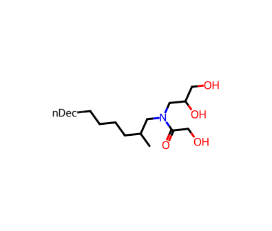 CCCCCCCCCCCCCCC(C)CN(CC(O)CO)C(=O)CO